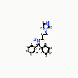 c1ccc(C(=[15N]CCCn2ccnc2)c2ccccc2)cc1